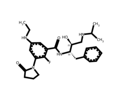 CCNc1cc(C(=O)N[C@@H](Cc2ccccc2)[C@@H](O)CNC(C)C)c(F)c(N2CCCC2=O)c1